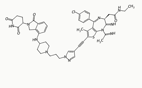 CCNC(=O)C[C@@H]1N=C(c2ccc(Cl)cc2)c2c(sc(C#Cc3cnn(CCCN4CCC(Nc5cccc6c5CN(C5CCC(=O)NC5=O)C6=O)CC4)c3)c2C)N(C(C)=N)C1=N